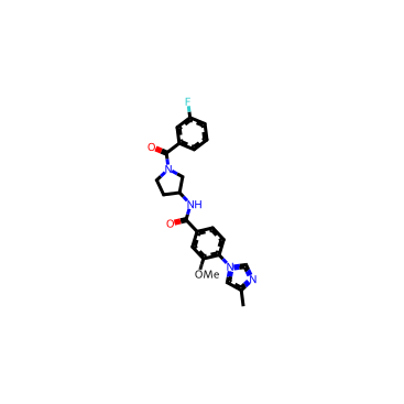 COc1cc(C(=O)NC2CCN(C(=O)c3cccc(F)c3)C2)ccc1-n1cnc(C)c1